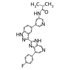 CC(C)C(=O)Nc1cncc(-c2ccc3[nH]nc(-c4nc5c(-c6ccc(F)cc6)cncc5[nH]4)c3c2)c1